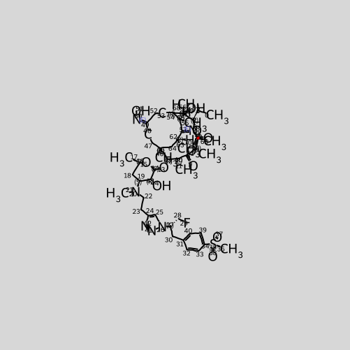 CC[C@H]1OC(=O)[C@H](C)C(=O)[C@H](C)[C@@H](O[C@@H]2O[C@H](C)C[C@H](N(C)CCc3cn([C@H](CF)Cc4ccc(S(C)(=O)=O)cc4)nn3)[C@H]2O)[C@]2(C)CC/C(=N/O)CC[C@H]([C@@H](C)/C(=N/C(C)=O)[C@H](C)C2)[C@]1(C)O